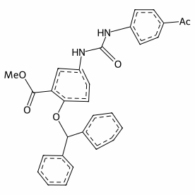 COC(=O)c1cc(NC(=O)Nc2ccc(C(C)=O)cc2)ccc1OC(c1ccccc1)c1ccccc1